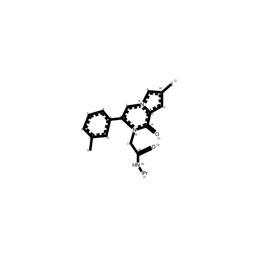 Cc1cccc(-c2cn3cc(I)cc3c(=O)n2CC(=O)NC(C)C)c1